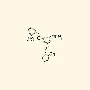 C=Cc1cc(OCc2ccccc2O)cc(OCc2ccccc2O)c1